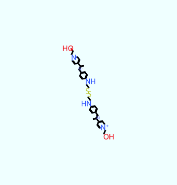 C/C(=C\c1ccc(NCCSSCCNc2ccc(/C=C(\C)c3cc[n+](CCO)cc3)cc2)cc1)C1=CCN(CCO)C=C1